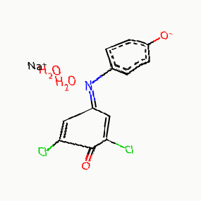 O.O.O=C1C(Cl)=CC(=Nc2ccc([O-])cc2)C=C1Cl.[Na+]